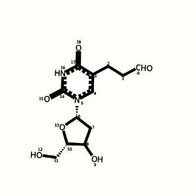 O=CCCc1cn([C@@H]2CC(O)[C@H](CO)O2)c(=O)[nH]c1=O